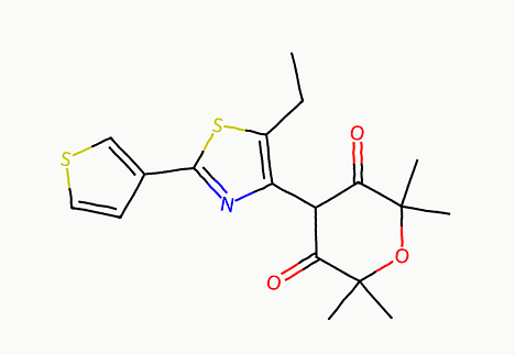 CCc1sc(-c2ccsc2)nc1C1C(=O)C(C)(C)OC(C)(C)C1=O